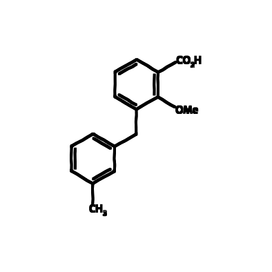 COc1c(Cc2cccc(C)c2)cccc1C(=O)O